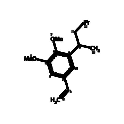 C=Cc1cc(OC)c(OC)c(C(C)CC(C)C)c1